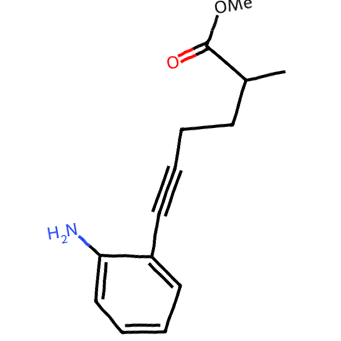 COC(=O)C(C)CCC#Cc1ccccc1N